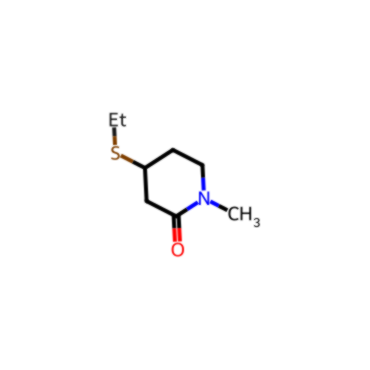 CCSC1CCN(C)C(=O)C1